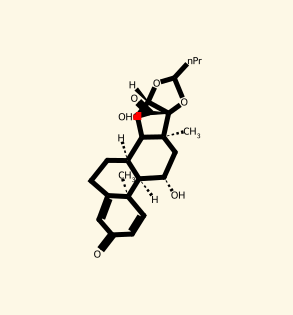 CCCC1O[C@H]2CC3[C@@H]4CCC5=CC(=O)C=C[C@]5(C)[C@@H]4[C@@H](O)C[C@]3(C)[C@@]2(C(=O)C=O)O1